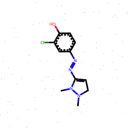 CN1CC=C(/N=N/c2ccc(O)c(Cl)c2)N1C